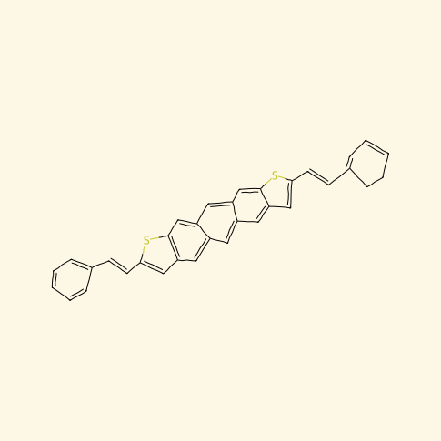 C1=CCCC(/C=C/c2cc3cc4cc5cc6cc(/C=C/c7ccccc7)sc6cc5cc4cc3s2)=C1